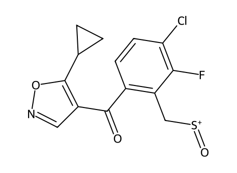 O=[S+]Cc1c(C(=O)c2cnoc2C2CC2)ccc(Cl)c1F